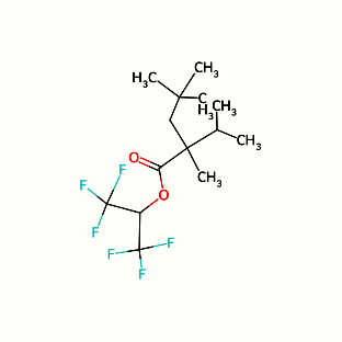 CC(C)C(C)(CC(C)(C)C)C(=O)OC(C(F)(F)F)C(F)(F)F